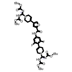 CC(C)(C)OC(=O)/N=C(/NC(=O)OC(C)(C)C)N1CC=C(c2c(F)cc(NC(=O)c3cc(C4=CCN(/C(=N/C(=O)OC(C)(C)C)NC(=O)OC(C)(C)C)CC4)co3)cc2F)CC1